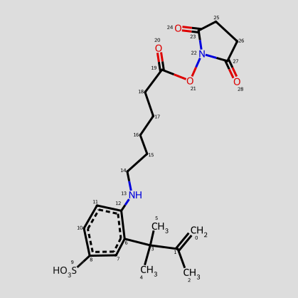 C=C(C)C(C)(C)c1cc(S(=O)(=O)O)ccc1NCCCCCC(=O)ON1C(=O)CCC1=O